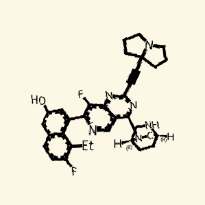 CCc1c(F)ccc2cc(O)cc(-c3ncc4c(N5C[C@H]6CC[C@@H]5CN6)nc(C#CC56CCCN5CCC6)nc4c3F)c12